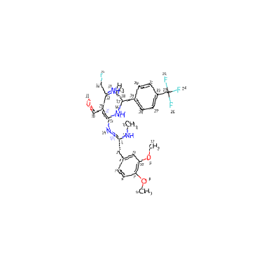 CN/C(Cc1ccc(OC)c(OC)c1)=N\C(NC(C)c1ccc(C(F)(F)F)cc1)=C(/C=O)C(=N)CF